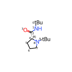 CC(C)(C)NC(=O)[C@H]1CCCN1C(C)(C)C